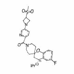 CC(C)O[C@@H]1CC2(CCN(C(=O)c3ccc(N4CC(S(C)(=O)=O)C4)cn3)CC2)Oc2ccc(F)cc21